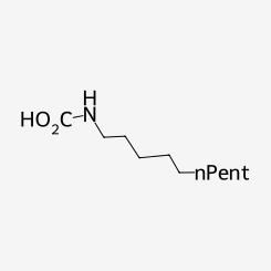 CCCCCCCCCCNC(=O)O